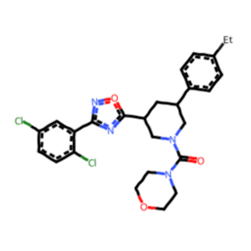 CCc1ccc(C2CC(c3nc(-c4cc(Cl)ccc4Cl)no3)CN(C(=O)N3CCOCC3)C2)cc1